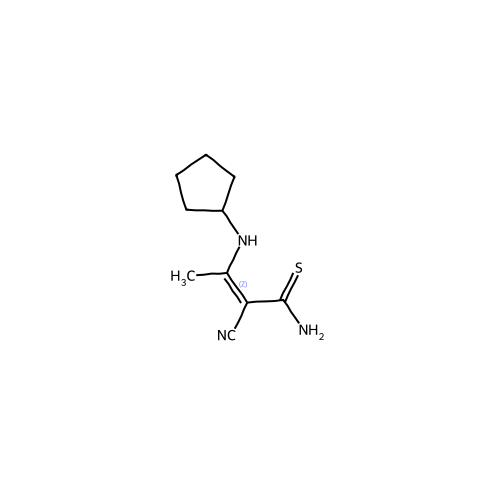 C/C(NC1CCCC1)=C(\C#N)C(N)=S